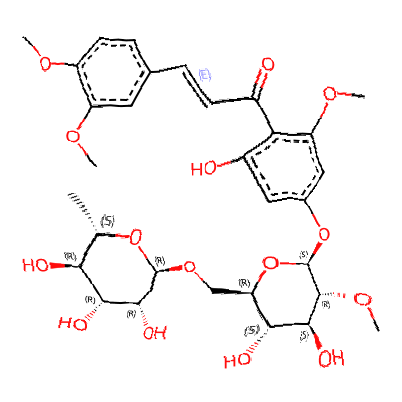 COc1ccc(/C=C/C(=O)c2c(O)cc(O[C@@H]3O[C@H](CO[C@@H]4O[C@@H](C)[C@H](O)[C@@H](O)[C@H]4O)[C@@H](O)[C@H](O)[C@H]3OC)cc2OC)cc1OC